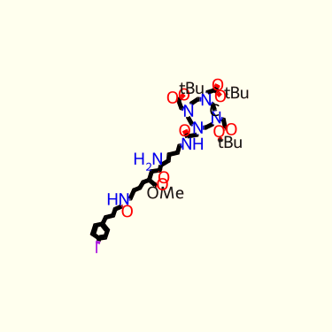 COC(=O)C(CCCCNC(=O)CCCc1ccc(I)cc1)CC(=O)C(N)CCCCNC(=O)CN1CCN(CC(=O)OC(C)(C)C)CCN(CC(=O)OC(C)(C)C)CCN(CC(=O)OC(C)(C)C)CC1